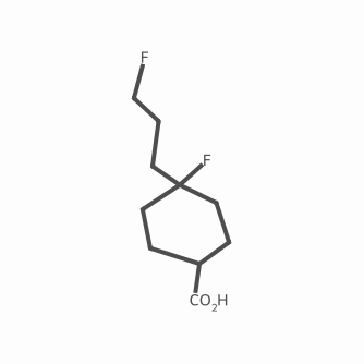 O=C(O)C1CCC(F)(CCCF)CC1